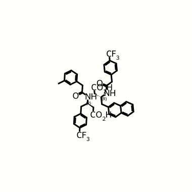 Cc1cccc(CC(=O)N[C@@H](CC(=O)O)Cc2ccc(C(F)(F)F)cc2)c1.O=C(O)C[C@@H](Cc1ccc2ccccc2c1)NC(=O)Cc1ccc(C(F)(F)F)cc1